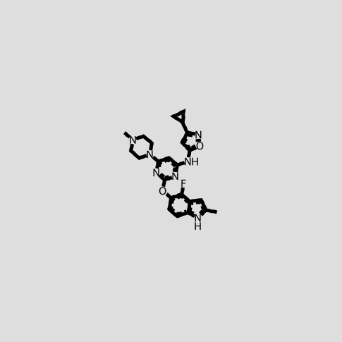 Cc1cc2c(F)c(Oc3nc(Nc4cc(C5CC5)no4)cc(N4CCN(C)CC4)n3)ccc2[nH]1